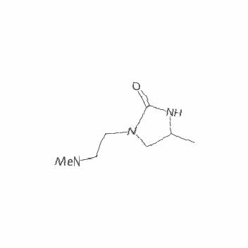 CNCCN1CC(C)NC1=O